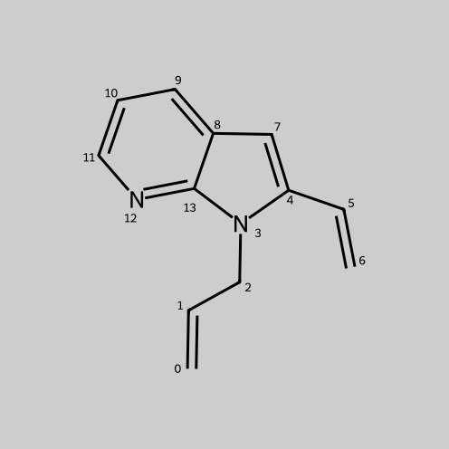 C=CCn1c(C=C)cc2cccnc21